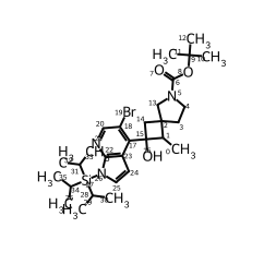 CC1C2(CCN(C(=O)OC(C)(C)C)C2)CC1(O)c1c(Br)cnc2c1ccn2[Si](C(C)C)(C(C)C)C(C)C